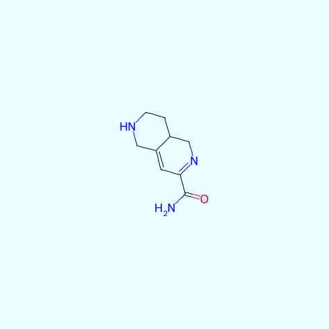 NC(=O)C1=NCC2CCNCC2=C1